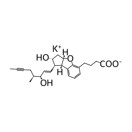 CC#CC[C@H](C)[C@H](O)/C=C/[C@@H]1[C@H]2c3cccc(CCCC(=O)[O-])c3O[C@H]2C[C@H]1O.[K+]